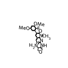 COc1cc(OC)c(F)c(-c2cc3cnc(N[C@@H]4COCC4N)nc3n(C)c2=O)c1